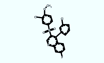 COc1ccc(S(=O)(=O)c2cnc3cc(F)ccc3c2-c2cccc(Cl)c2)cc1Cl